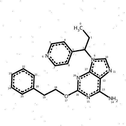 CCC(c1ccncc1)n1cnc2c(N)nc(OCCc3ccccc3)nc21